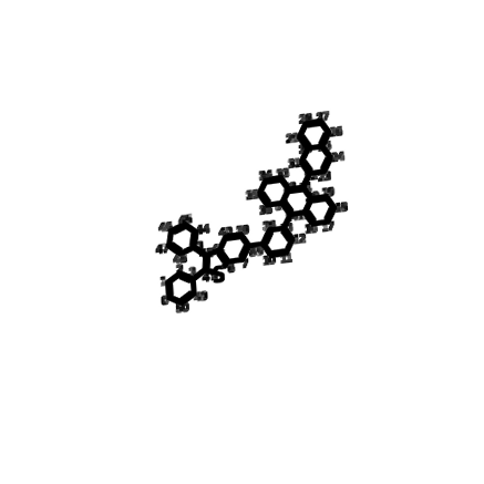 c1ccc(-c2sc3cc(-c4cccc(-c5c6ccccc6c(-c6ccc7ccccc7c6)c6ccccc56)c4)ccc3c2-c2ccccc2)cc1